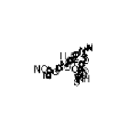 CN(C)CCN(CC1CCN(c2ccc(C(=O)NC3CCC(Oc4ccc(C#N)c5ncccc45)CC3)cc2F)CC1)C1CC(Oc2ccc3c(c2)C(=O)N(C2CCC(=O)NC2=O)C3=O)C1